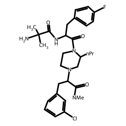 CCCC1CN(C(Cc2cccc(Cl)c2)C(=O)NC)CCN1C(=O)C(Cc1ccc(F)cc1)NC(=O)C(C)(C)N